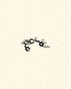 COC(=O)C(Cc1ccncc1)NC(=O)C1CCN(C(=O)/C=C/c2ccc(SC)c(Cl)c2Cl)CC1